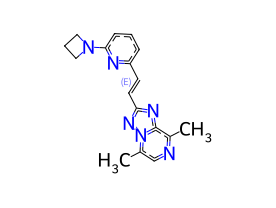 Cc1ncc(C)n2nc(/C=C/c3cccc(N4CCC4)n3)nc12